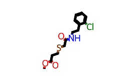 COC(=O)CCSCC(=O)NCCc1ccccc1Cl